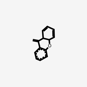 C=C1c2ccccc2OC2C=CC=CC12